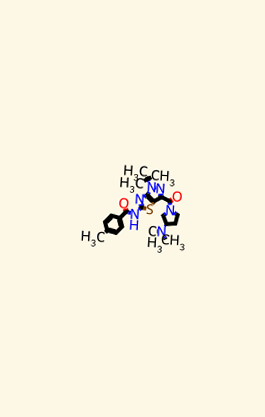 Cc1ccc(C(=O)Nc2nc3c(s2)c(C(=O)N2CC[C@@H](N(C)C)C2)nn3C(C)(C)C)cc1